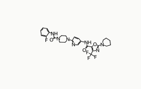 O=C(Nc1ccc(N2CCN(C(=O)Nc3ccccc3F)CC2)nc1)c1oc(N2CCCCC2)nc1C(F)(F)F